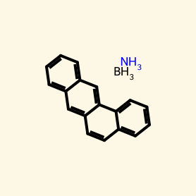 B.N.c1ccc2cc3c(ccc4ccccc43)cc2c1